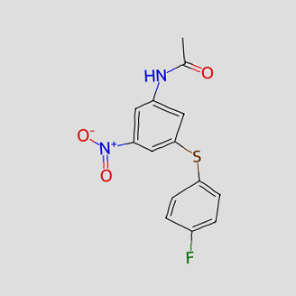 CC(=O)Nc1cc(Sc2ccc(F)cc2)cc([N+](=O)[O-])c1